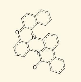 O=c1c2ccccc2c2cccc3c2n1c1cccc2oc4ccc5ccccc5c4n3-c21